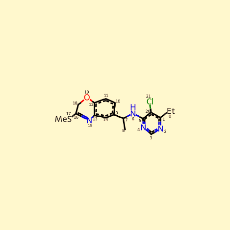 CCc1ncnc(NC(C)c2ccc3c(c2)N=C(SC)CO3)c1Cl